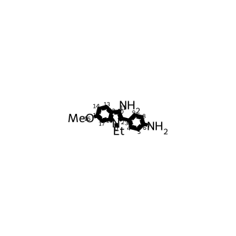 CCn1c(-c2ccc(N)cc2)c(N)c2ccc(OC)cc21